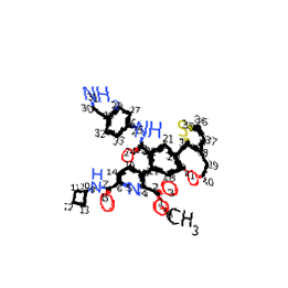 COC(=O)c1nc(C(=O)NC2CCC2)ccc1-c1cc2c(cc1C(=O)Nc1ccc(CN)cc1)-c1sccc1CCO2